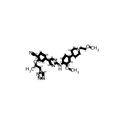 COCCN1CCC(c2ccc(Nc3ncc(-c4ccc(C#N)c(O[C@@H](C)Cn5cnnn5)c4)cn3)c(OC)c2)CC1